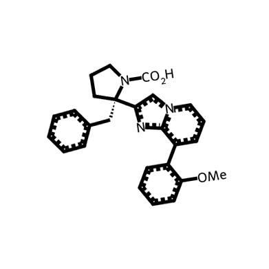 COc1ccccc1-c1cccn2cc([C@@]3(Cc4ccccc4)CCCN3C(=O)O)nc12